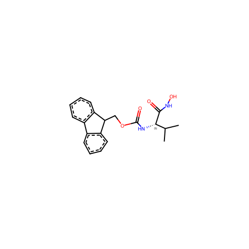 CC(C)[C@H](NC(=O)OCC1c2ccccc2-c2ccccc21)C(=O)NO